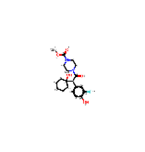 CC(C)(C)OC(=O)N1CCN(C(=O)C(c2ccc(O)c(F)c2)C2(O)CCCCC2)CC1